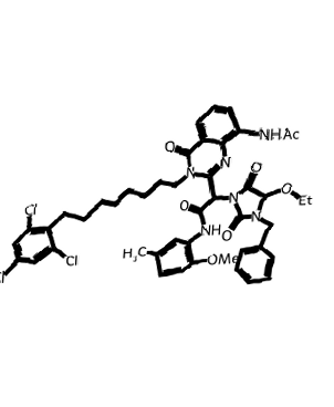 CCOC1C(=O)N(C(C(=O)Nc2cc(C)ccc2OC)c2nc3c(NC(C)=O)cccc3c(=O)n2CCCCCCCCc2c(Cl)cc(Cl)cc2Cl)C(=O)N1Cc1ccccc1